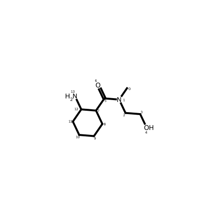 CN(CCO)C(=O)C1CCCCC1N